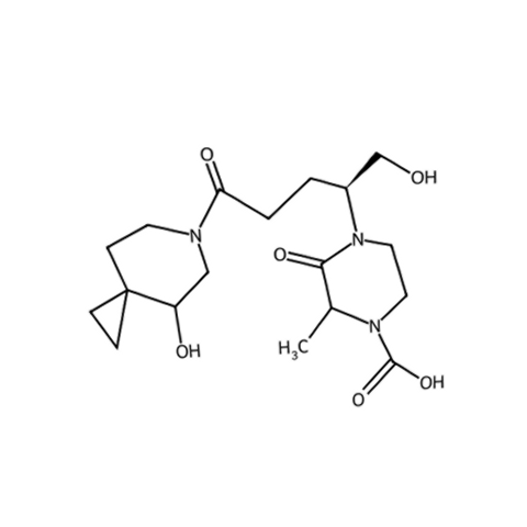 CC1C(=O)N([C@H](CO)CCC(=O)N2CCC3(CC3)C(O)C2)CCN1C(=O)O